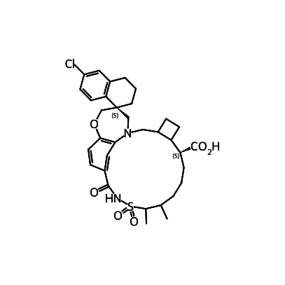 CC1CCC[C@H](C(=O)O)C2CCC2CN2C[C@@]3(CCCc4cc(Cl)ccc43)COc3ccc(cc32)C(=O)NS(=O)(=O)C1C